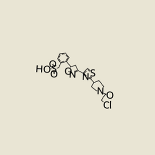 O=C(CCl)N1CCC(c2nc(C3=NOC(c4ccccc4CS(=O)(=O)O)C3)cs2)CC1